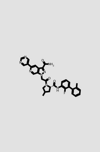 Cc1ccccc1-c1cccc(NC(=O)[C@@H]2CC(C)CN2C(=O)Cn2nc(C(N)=O)c3cc(-c4cncnc4)ncc32)c1F